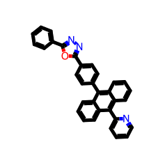 c1ccc(-c2nnc(-c3ccc(-c4c5ccccc5c(-c5ccccn5)c5ccccc45)cc3)o2)cc1